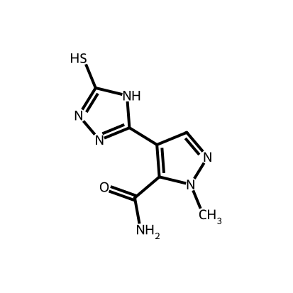 Cn1ncc(-c2nnc(S)[nH]2)c1C(N)=O